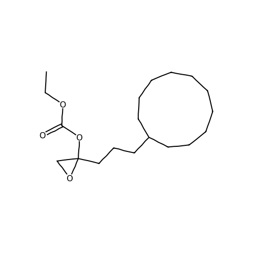 CCOC(=O)OC1(CCCC2CCCCCCCCCC2)CO1